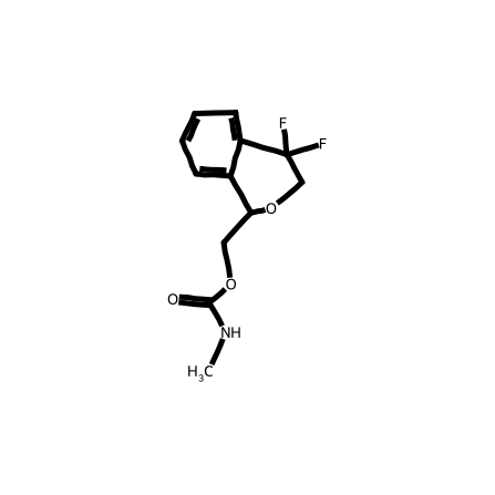 CNC(=O)OCC1OCC(F)(F)c2ccccc21